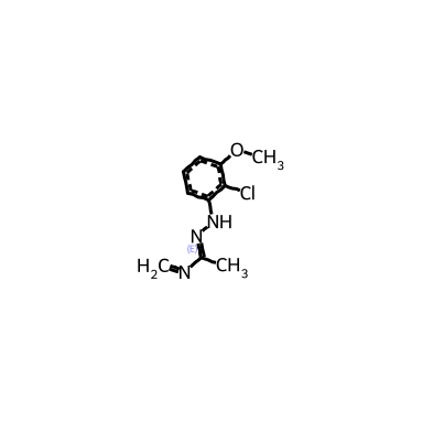 C=N/C(C)=N/Nc1cccc(OC)c1Cl